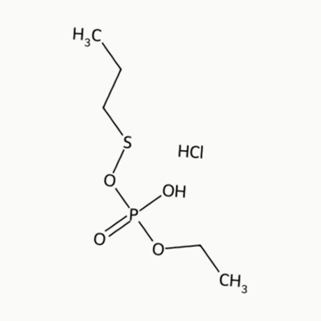 CCCSOP(=O)(O)OCC.Cl